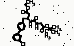 CCOC(=O)CC(Cc1ccc(-c2cccc(Cl)c2)cc1)NC(=O)NCC(=O)OC(C)(C)C